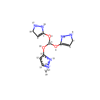 C1=C(OB(OC2=CC[N-][N-]2)Oc2cc[n-]n2)[N-][N-]C1.[V+5]